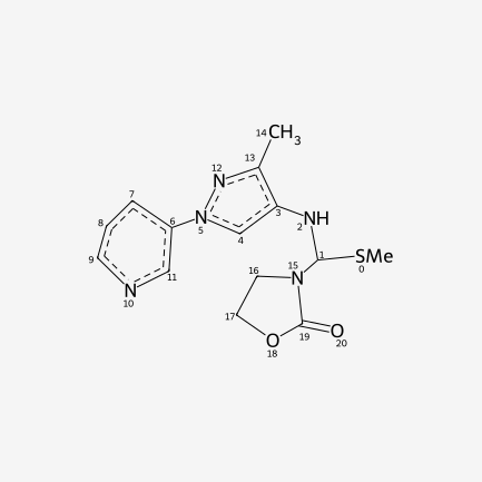 CSC(Nc1cn(-c2cccnc2)nc1C)N1CCOC1=O